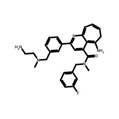 CN(CCN)Cc1cccc(-c2cc(C(=O)N(C)Cc3cccc(F)c3)c3c(n2)=CC=CCC=3N)c1